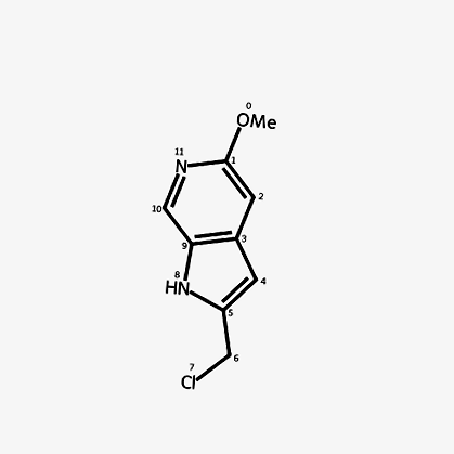 COc1cc2cc(CCl)[nH]c2cn1